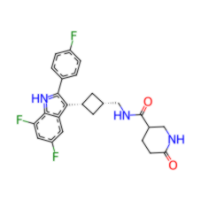 O=C1CCC(C(=O)NC[C@H]2C[C@@H](c3c(-c4ccc(F)cc4)[nH]c4c(F)cc(F)cc43)C2)CN1